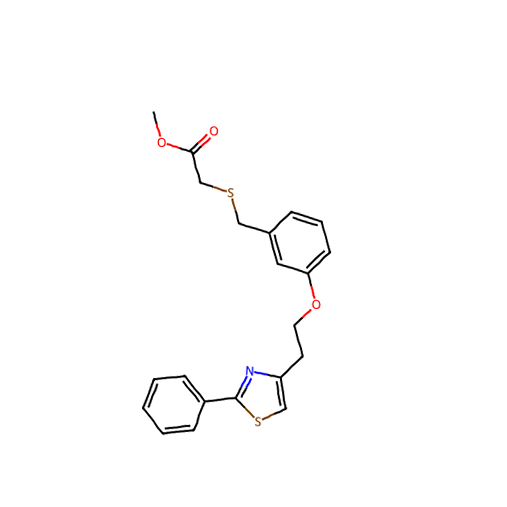 COC(=O)CSCc1cccc(OCCc2csc(-c3ccccc3)n2)c1